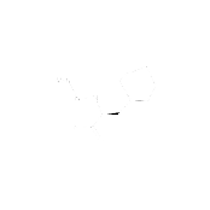 CNNN[C@@H](CC1CCCCC1)C(N)=O